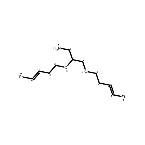 CC/C=C/CCOCC(CN)OCC/C=C/CC